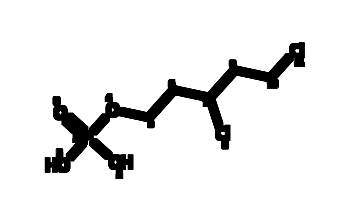 O=P(O)(O)OCCC(Cl)CCCl